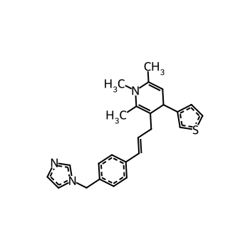 CC1=CC(c2ccsc2)C(CC=Cc2ccc(Cn3ccnc3)cc2)=C(C)N1C